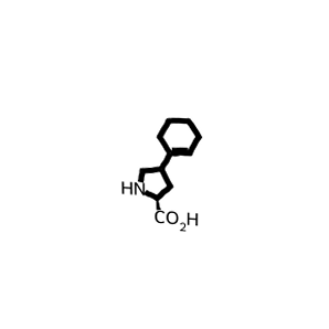 O=C(O)[C@@H]1CC(C2=CCCCC2)CN1